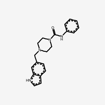 O=C(Nc1ccccc1)N1CCN(Cc2ccc3cc[nH]c3c2)CC1